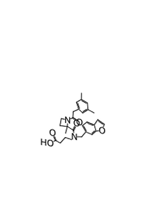 Cc1cc(C)cc(CC(=O)N2CCC2(C)C(=O)N(CCCC(=O)O)Cc2ccc3ccoc3c2)c1